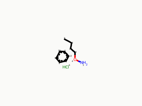 CCCCON.Cl.c1ccccc1